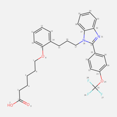 O=C(O)CCCCCOc1ccccc1CCCn1c(-c2ccc(OC(F)(F)F)cc2)nc2ccccc21